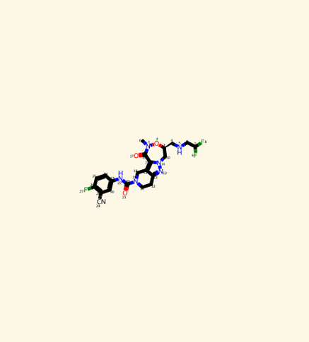 CN1O[C@@H](CNCC(F)F)Cn2nc3c(c2C1=O)CN(C(=O)Nc1ccc(F)c(C#N)c1)CC3